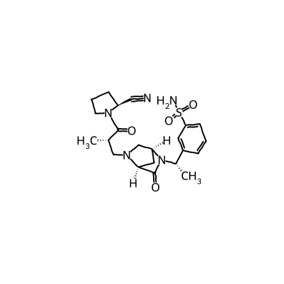 C[C@@H](CN1C[C@@H]2C[C@H]1C(=O)N2[C@@H](C)c1cccc(S(N)(=O)=O)c1)C(=O)N1CCC[C@H]1C#N